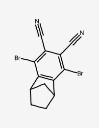 N#Cc1c(Br)c2c(c(Br)c1C#N)C1CCC2C1